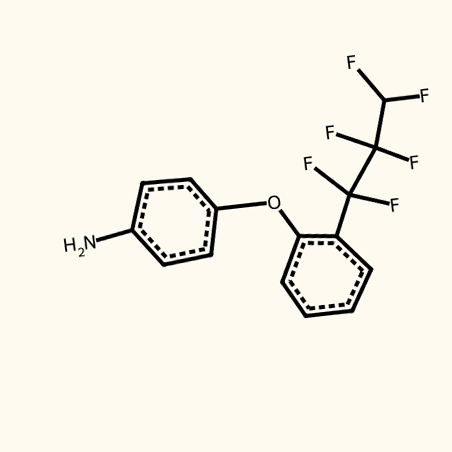 Nc1ccc(Oc2ccccc2C(F)(F)C(F)(F)C(F)F)cc1